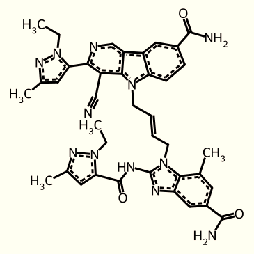 CCn1nc(C)cc1C(=O)Nc1nc2cc(C(N)=O)cc(C)c2n1CC=CCn1c2ccc(C(N)=O)cc2c2cnc(-c3cc(C)nn3CC)c(C#N)c21